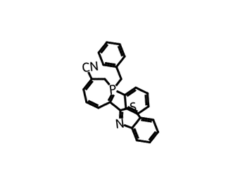 N#CC1=CC=CC(c2nc3ccccc3s2)=P(Cc2ccccc2)(c2ccccc2)C1